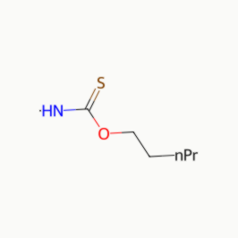 CCCCCOC([NH])=S